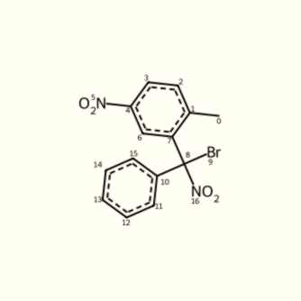 Cc1ccc([N+](=O)[O-])cc1C(Br)(c1ccccc1)[N+](=O)[O-]